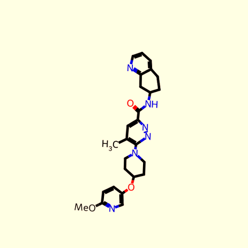 COc1ccc(OC2CCN(c3nnc(C(=O)NC4CCc5cccnc5C4)cc3C)CC2)cn1